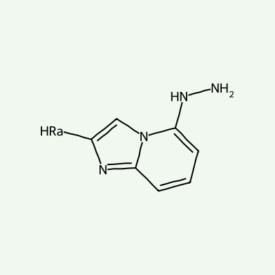 NNc1cccc2n[c]([RaH])cn12